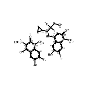 CCOC(=O)c1c(Cl)c2cc(Br)c(F)cc2n(C)c1=O.Cn1c(=O)cc(N[C@@H](C2CC2)C(F)(F)CO)c2cc(Br)c(F)cc21